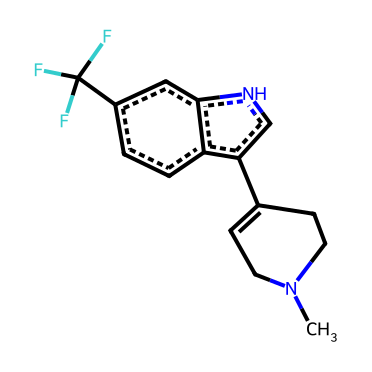 CN1CC=C(c2c[nH]c3cc(C(F)(F)F)ccc23)CC1